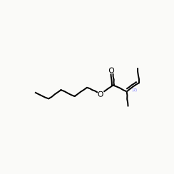 C/C=C(/C)C(=O)OCCCCC